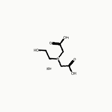 O=C(O)CN(CCO)CC(=O)O.[Mn]